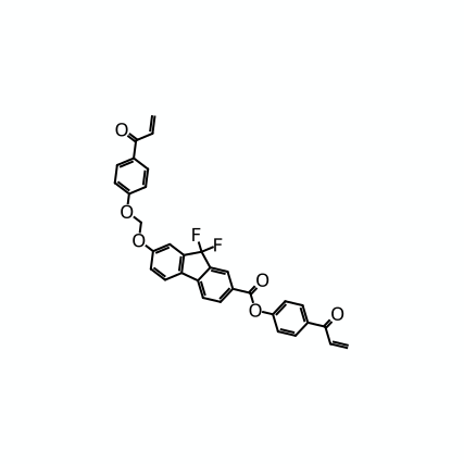 C=CC(=O)c1ccc(OCOc2ccc3c(c2)C(F)(F)c2cc(C(=O)Oc4ccc(C(=O)C=C)cc4)ccc2-3)cc1